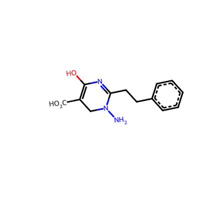 NN1CC(C(=O)O)=C(O)N=C1CCc1ccccc1